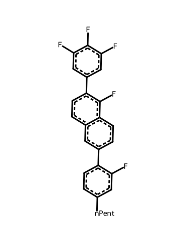 CCCCCc1ccc(-c2ccc3c(F)c(-c4cc(F)c(F)c(F)c4)ccc3c2)c(F)c1